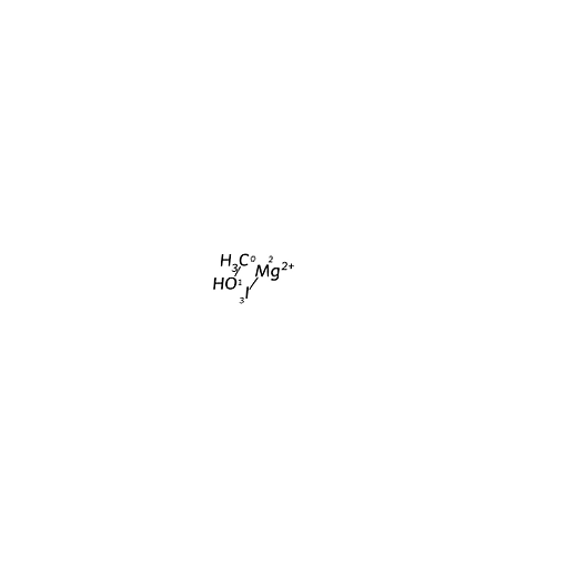 CO.[Mg+2][I]